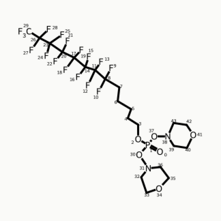 O=P(OCCCCCC(F)(F)C(F)(F)C(F)(F)C(F)(F)C(F)(F)C(F)(F)C(F)(F)C(F)(F)F)(ON1CCOCC1)ON1CCOCC1